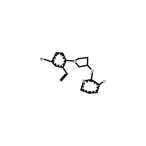 C=Cc1cc(Br)ccc1N1CCC(Oc2ncccc2Cl)C1